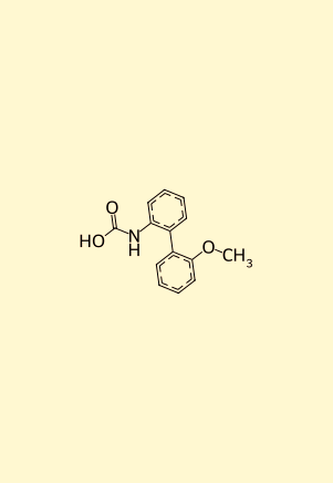 COc1ccccc1-c1ccccc1NC(=O)O